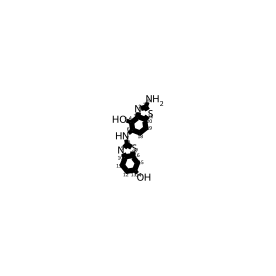 Nc1nc2c(O)c(Nc3nc4ccc(O)cc4s3)ccc2s1